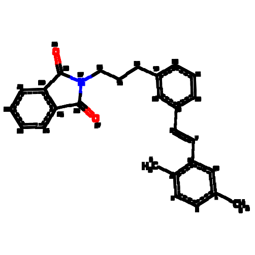 Cc1ccc(C)c(/C=C/c2cccc(CCCN3C(=O)c4ccccc4C3=O)c2)c1